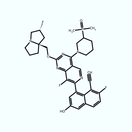 C#Cc1c(F)ccc2cc(O)cc(-c3ncc4c(N5CCCC(P(C)(C)=O)C5)nc(OC[C@@]56CCCN5C[C@H](F)C6)nc4c3F)c12